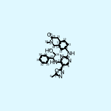 Cc1nnc(-c2cnc(Nc3ccc4c(c3)CN(C)C(=O)C4)nc2N[C@H](CO)c2ccccc2)o1